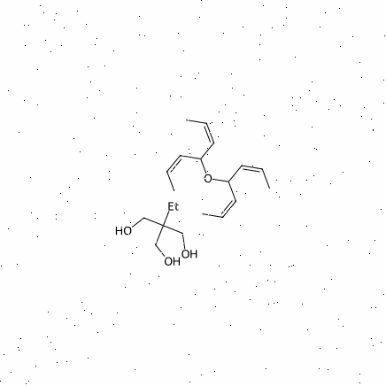 C/C=C\C(/C=C\C)OC(/C=C\C)/C=C\C.CCC(CO)(CO)CO